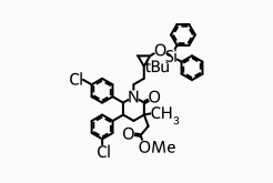 COC(=O)CC1(C)CC(c2cccc(Cl)c2)C(c2ccc(Cl)cc2)N(CCC2CC2O[Si](c2ccccc2)(c2ccccc2)C(C)(C)C)C1=O